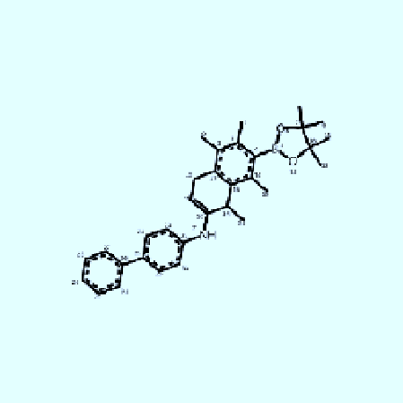 Cc1c(C)c(B2OC(C)(C)C(C)(C)O2)c(C)c2c1CC=C(Nc1ccc(-c3ccccc3)cc1)C2C